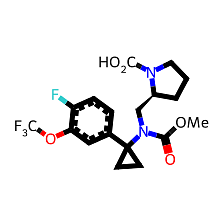 COC(=O)N(C[C@@H]1CCCN1C(=O)O)C1(c2ccc(F)c(OC(F)(F)F)c2)CC1